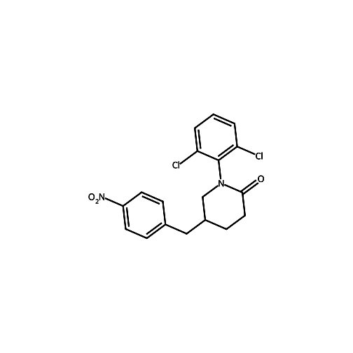 O=C1CCC(Cc2ccc([N+](=O)[O-])cc2)CN1c1c(Cl)cccc1Cl